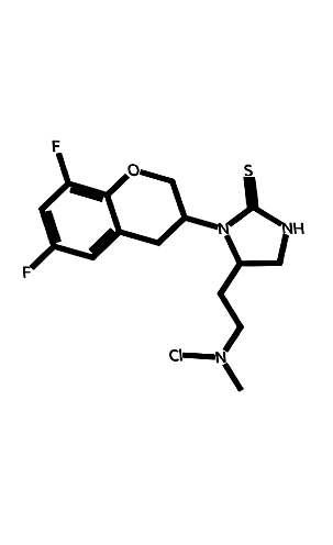 CN(Cl)CCC1CNC(=S)N1C1COc2c(F)cc(F)cc2C1